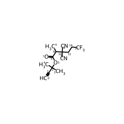 C#CC(C)(C)OC(=O)C(C)C(C#N)(C#N)CCC(F)(F)F